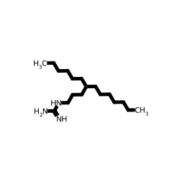 CCCCCCCC(CCCCCC)CCCNC(=N)N